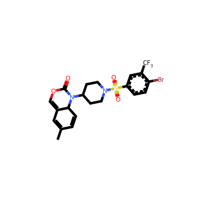 CC1=CC2=COC(=O)N(C3CCN(S(=O)(=O)c4ccc(Br)c(C(F)(F)F)c4)CC3)C2C=C1